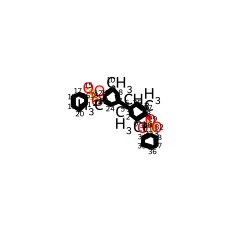 Cc1cc(C(C)(C)c2cc(C)c(OS(=O)(=O)c3ccccc3)c(C)c2)cc(C)c1OS(=O)(=O)c1ccccc1